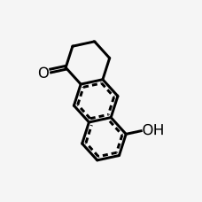 O=C1CCCc2cc3c(O)cccc3cc21